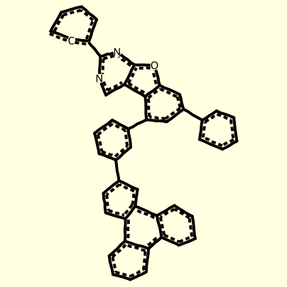 c1ccc(-c2cc(-c3cccc(-c4ccc5c6ccccc6c6ccccc6c5c4)c3)c3c(c2)oc2nc(-c4ccccc4)ncc23)cc1